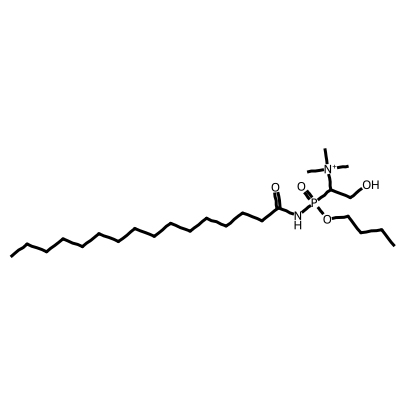 CCCCCCCCCCCCCCCC(=O)NP(=O)(OCCCC)C(CO)[N+](C)(C)C